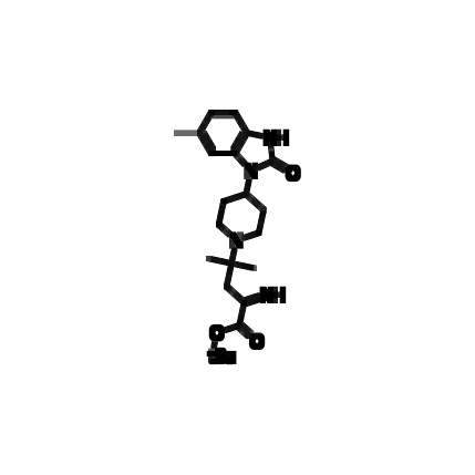 Cc1ccc2[nH]c(=O)n(C3CCN(C(C)(C)CC(=N)C(=O)OC(C)(C)C)CC3)c2c1